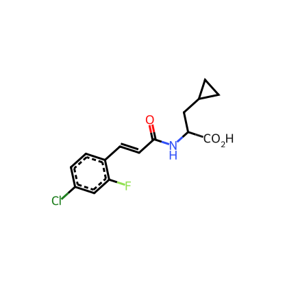 O=C(C=Cc1ccc(Cl)cc1F)NC(CC1CC1)C(=O)O